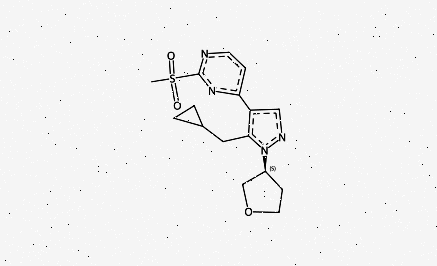 CS(=O)(=O)c1nccc(-c2cnn([C@H]3CCOC3)c2CC2CC2)n1